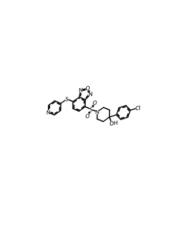 O=S(=O)(c1ccc(Sc2ccncc2)c2nonc12)N1CCC(O)(c2ccc(Cl)cc2)CC1